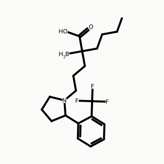 BC(CCCC)(CCCN1CCCC1c1ccccc1C(F)(F)F)C(=O)O